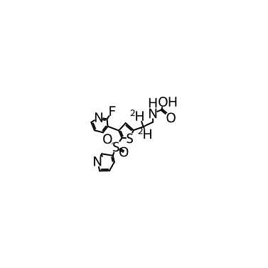 [2H]C([2H])(CNC(=O)O)c1cc(-c2cccnc2F)c(S(=O)(=O)c2cccnc2)s1